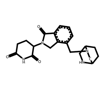 O=C1CCC(N2Cc3c(CN4CC5CCC4CN5)cccc3C2=O)C(=O)N1